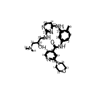 Cc1ccc(NC(=O)c2ccnc(N3CCOCC3)c2)cc1Nc1ccnc(NCC(O)CN(C)C)n1